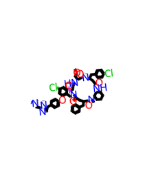 COCC1NC(=O)C(I)N(Cc2ccc(Cl)cc2Oc2ccc(-c3cnc(CN(C)C)n3C)cc2)C(=O)CC(Cc2ccccc2)C(=O)N(C)C2CCCCC2NC(=O)CC(Cc2ccc(Cl)cc2)N(C)C1=O